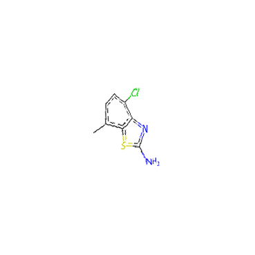 Cc1ccc(Cl)c2nc(N)sc12